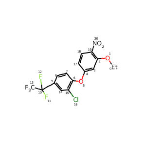 CCOc1cc(Oc2ccc(C(F)(F)C(F)(F)F)cc2Cl)ccc1[N+](=O)[O-]